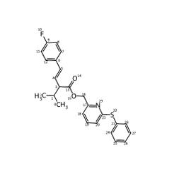 CC(C)C(/C=C/c1ccc(F)cc1)C(=O)OCc1cccc(Sc2ccccc2)n1